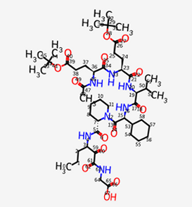 CCCC(NC(=O)[C@@H]1CCCCN1C(=O)[C@@H](NC(=O)[C@@H](NC(=O)[C@H](CCC(=O)OC(C)(C)C)NC(=O)[C@H](CCC(=O)OC(C)(C)C)NC(C)=O)C(C)C)C1CCCCC1)C(=O)C(=O)NCC(=O)O